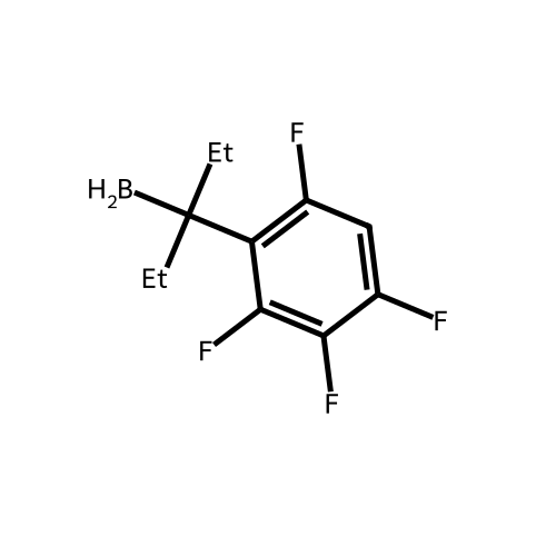 BC(CC)(CC)c1c(F)cc(F)c(F)c1F